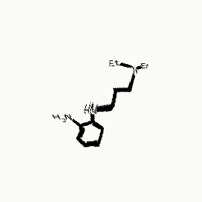 CCN(CC)CCCNc1ccccc1N